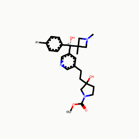 CC(C)c1ccc([C@](O)(c2cncc(CCC3(O)CCN(C(=O)OC(C)(C)C)C3)c2)C2(C)CN(C)C2)cc1